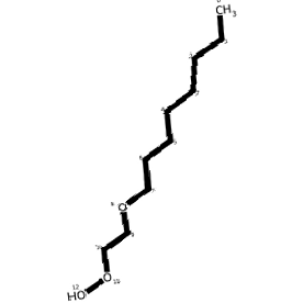 CCCCCCCCOCCOO